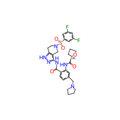 O=C(Nc1n[nH]c2c1CN(S(=O)(=O)c1cc(F)cc(F)c1)CC2)c1ccc(CN2CCCC2)cc1NC(=O)[C@H]1CCCO1